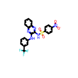 O=[N+]([O-])c1ccc(S(=O)(=O)Nc2nc3ccccc3nc2Nc2cccc(C(F)(F)F)c2)cc1